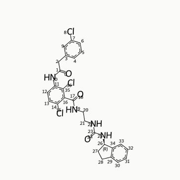 O=C(Cc1cccc(Cl)c1)Nc1ccc(Cl)c(C(=O)NCCNC(=O)N[C@@H]2CCc3ccccc32)c1Cl